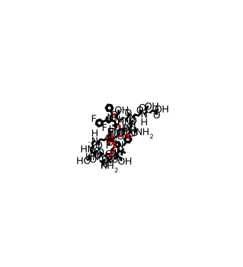 C[C@H](NC(=O)CCCC(=O)N[C@@H](CCCCNC(=O)OC(C)(C)C)C(=O)N[C@@H](C)C(=O)N(C)[C@@H](C)C(=O)N[C@@H](CC(N)=O)C(=O)N[C@@H](CCN(C(=O)CO)[C@@H](c1cc(-c2cc(F)ccc2F)cn1Cc1ccccc1)C(C)(C)C)C(=O)NCCC(=O)N[C@H](CCC(=O)O)C(=O)O)C(=O)N[C@@H](CC(=O)O)C(=O)N[C@@H](CC(N)=O)C(=O)NCCCN(C(=O)CO)[C@@H](c1cc(-c2cc(F)ccc2F)cn1Cc1ccccc1)C(C)(C)C